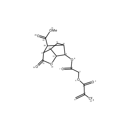 C=C(C(=O)OCC(=O)OC1C2CC3C1OC(=O)C3C2C(=O)OC)C(F)(F)F